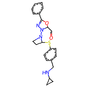 O=CC1OC(c2ccccc2)=NN1N1CCC1Sc1ccc(CNC2CC2)cc1